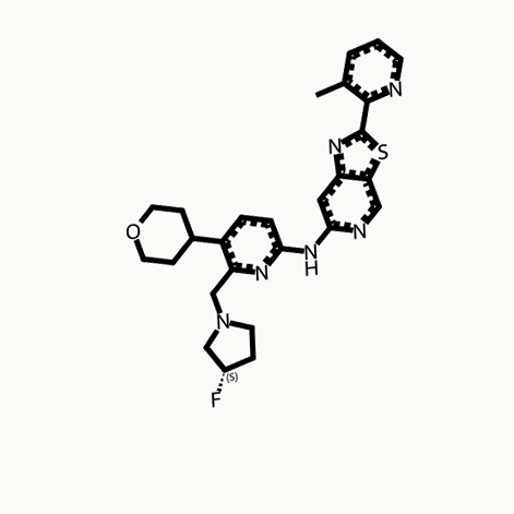 Cc1cccnc1-c1nc2cc(Nc3ccc(C4CCOCC4)c(CN4CC[C@H](F)C4)n3)ncc2s1